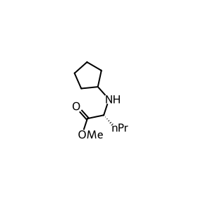 CCC[C@@H](NC1CCCC1)C(=O)OC